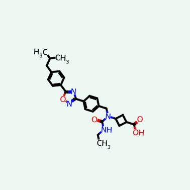 CCNC(=O)N(Cc1ccc(-c2noc(-c3ccc(CC(C)C)cc3)n2)cc1)C1CC(C(=O)O)C1